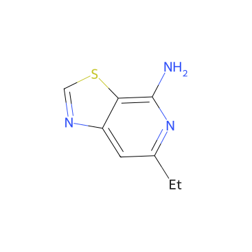 CCc1cc2ncsc2c(N)n1